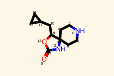 O=C1NC2(CCNCC2)C(CC2CC2)O1